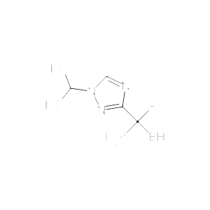 BC(F)(P)c1ncn(C(C)C)n1